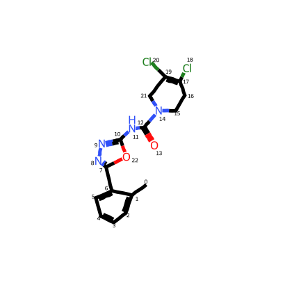 Cc1ccccc1-c1nnc(NC(=O)N2CCC(Cl)=C(Cl)C2)o1